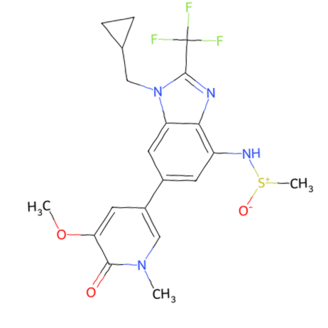 COc1cc(-c2cc(N[S+](C)[O-])c3nc(C(F)(F)F)n(CC4CC4)c3c2)cn(C)c1=O